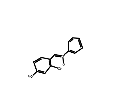 [O-][N+](=Cc1ccc(O)cc1O)c1ccccc1